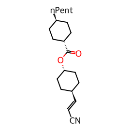 CCCCC[C@H]1CC[C@H](C(=O)O[C@H]2CC[C@H](C=CC#N)CC2)CC1